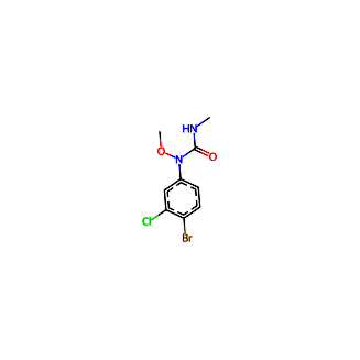 CNC(=O)N(OC)c1ccc(Br)c(Cl)c1